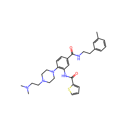 Cc1cccc(CCNC(=O)c2ccc(N3CCN(CCN(C)C)CC3)c(NC(=O)c3cccs3)c2)c1